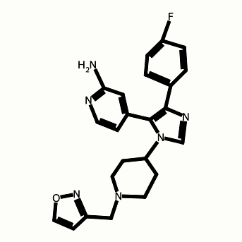 Nc1cc(-c2c(-c3ccc(F)cc3)ncn2C2CCN(Cc3ccon3)CC2)ccn1